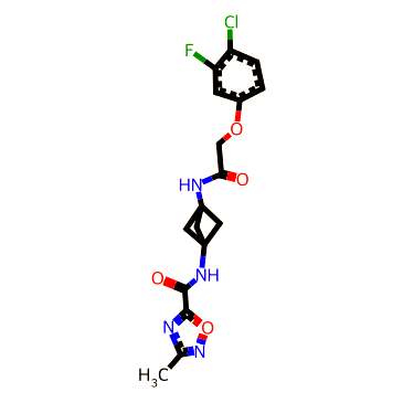 Cc1noc(C(=O)NC23CC(NC(=O)COc4ccc(Cl)c(F)c4)(C2)C3)n1